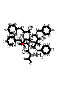 CC(C)[C@H](N)C(=O)N(C(=O)CCc1ccccn1)[C@@H](Cc1ccccc1)C(F)(F)C(=O)[C@H](Cc1ccccc1)N(C(=O)CCc1ccccn1)C(=O)[C@@H](N)C(C)C